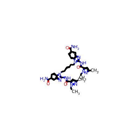 CCn1nc(C)cc1C(=O)Nc1nc2cc(C(N)=O)ccc2n1CC/C=C/CCn1c(NC(=O)c2cc(C)nn2CC)nc2cc(C(N)=O)ccc21